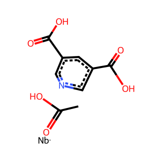 CC(=O)O.O=C(O)c1cncc(C(=O)O)c1.[Nb]